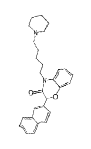 O=C1C(c2ccc3ccccc3c2)Oc2ccccc2N1CCCCCN1CCCCC1